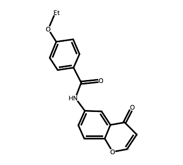 CCOc1ccc(C(=O)Nc2ccc3o[c]cc(=O)c3c2)cc1